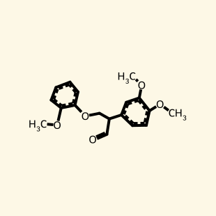 COc1ccc(C(C=O)COc2ccccc2OC)cc1OC